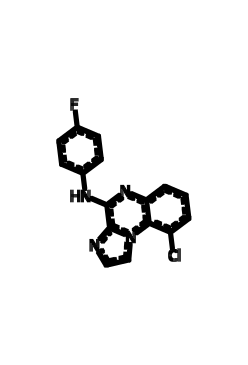 Fc1ccc(Nc2nc3cccc(Cl)c3n3ccnc23)cc1